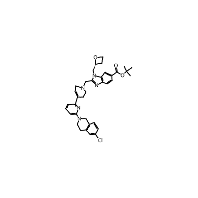 CC(C)(C)OC(=O)c1ccc2nc(CN3CC=C(c4cccc(N5CCc6cc(Cl)ccc6C5)n4)CC3)n(C[C@@H]3CCO3)c2c1